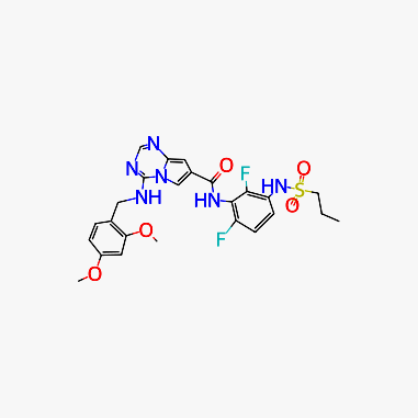 CCCS(=O)(=O)Nc1ccc(F)c(NC(=O)c2cc3ncnc(NCc4ccc(OC)cc4OC)n3c2)c1F